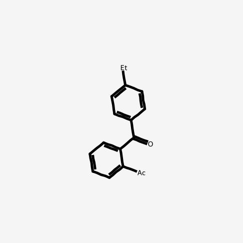 CCc1ccc(C(=O)c2ccccc2C(C)=O)cc1